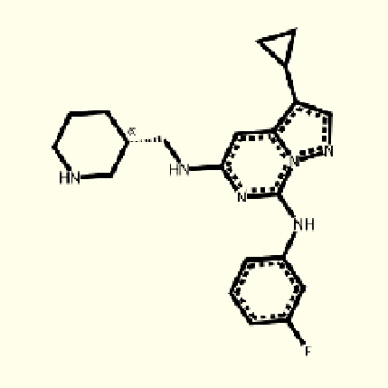 Fc1cccc(Nc2nc(NC[C@H]3CCCNC3)cc3c(C4CC4)cnn23)c1